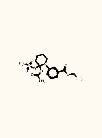 CCOC(=O)c1cccc(N2CCCCC2(OC(C)=O)OS(C)(=O)=O)c1